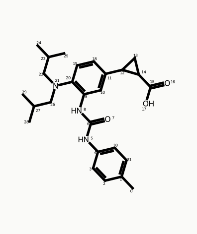 Cc1ccc(NC(=O)Nc2cc(C3CC3C(=O)O)ccc2N(CC(C)C)CC(C)C)cc1